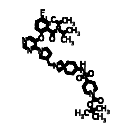 CC(C)N(C(=O)c1cc(F)ccc1Oc1cncnc1N1CC[C@@H](CN2CC3(CCC(NS(=O)(=O)C4CCN(C(=O)OC(C)(C)C)CC4)CC3)C2)C1)C(C)C